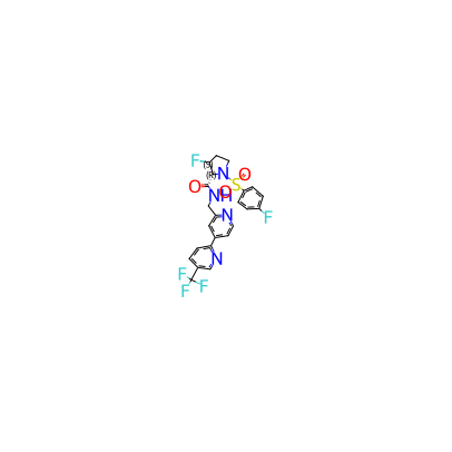 O=C(NCc1cc(-c2ccc(C(F)(F)F)cn2)ccn1)[C@@H]1[C@@H](F)CCN1S(=O)(=O)c1ccc(F)cc1